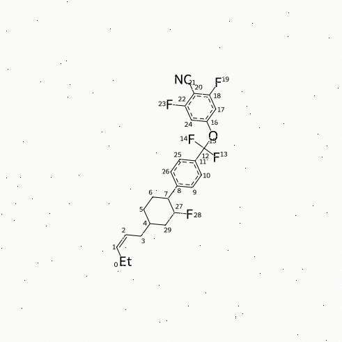 CC/C=C\CC1CCC(c2ccc(C(F)(F)Oc3cc(F)c(C#N)c(F)c3)cc2)C(F)C1